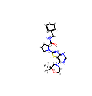 CC1(C)CN(c2ncnc3nc(N4CCC[C@@H]4C(=O)NCc4ccccc4)sc23)CCO1